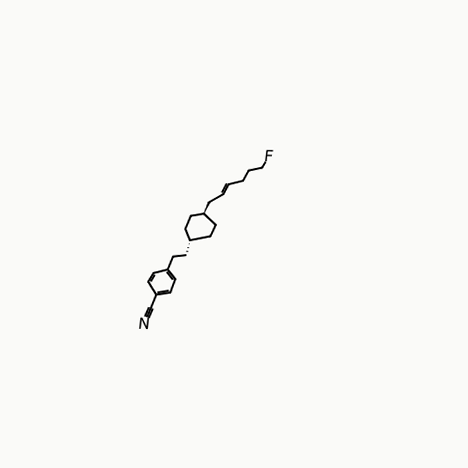 N#Cc1ccc(CC[C@H]2CC[C@H](CC=CCCCF)CC2)cc1